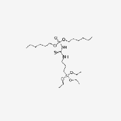 CCCCCCOP(=O)(NC(=S)NCCC[Si](OCC)(OCC)OCC)OCCCCCC